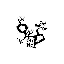 CC(c1ccc(O)cc1)C(O)(O)c1c(O)cccc1SP(=O)(O)O